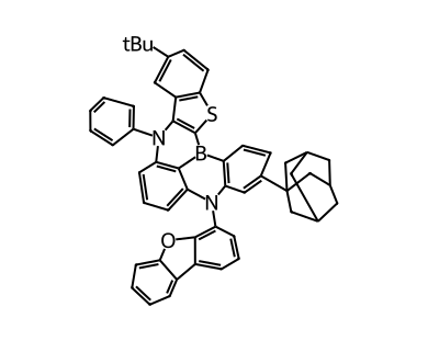 CC(C)(C)c1ccc2sc3c(c2c1)N(c1ccccc1)c1cccc2c1B3c1ccc(C34CC5CC(CC(C5)C3)C4)cc1N2c1cccc2c1oc1ccccc12